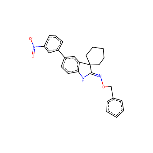 O=[N+]([O-])c1cccc(-c2ccc3c(c2)C2(CCCCC2)C(=NOCc2ccccc2)N3)c1